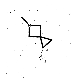 CN1CC2(C[C@@H]2N)C1